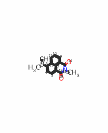 CB(C)c1ccc2c3c(cccc13)C(=O)N(C)C2=O